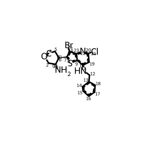 N[C@@H]1COCC[C@H]1c1sc2c(NCc3ccccc3)cc(Cl)nc2c1Br